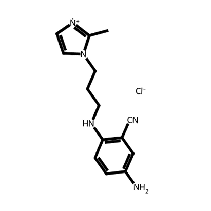 CC1=[N+]C=CN1CCCNc1ccc(N)cc1C#N.[Cl-]